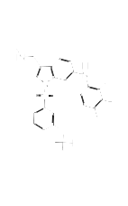 CNCc1cn(S(=O)(=O)c2cccc(OC(F)(F)F)c2)c2cc(Nc3ccc(C)c(F)c3F)ccc12.Cl